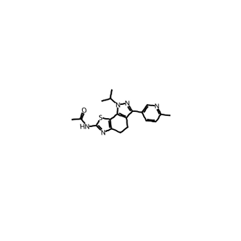 CC(=O)Nc1nc2c(s1)-c1c(c(-c3ccc(C)nc3)nn1C(C)C)CC2